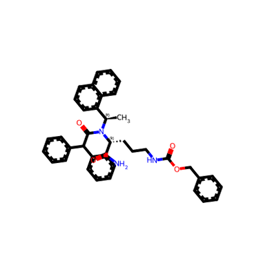 C[C@H](c1cccc2ccccc12)N(C(=O)C(c1ccccc1)c1ccccc1)[C@H](CCCNC(=O)OCc1ccccc1)C(N)=O